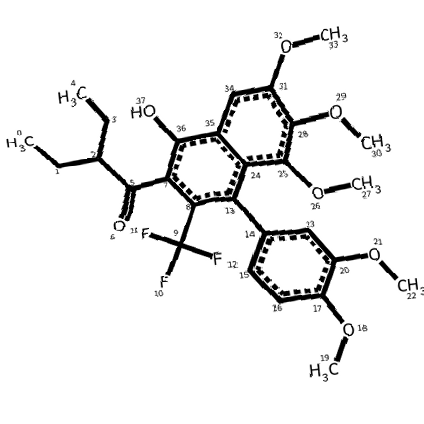 CCC(CC)C(=O)c1c(C(F)(F)F)c(-c2ccc(OC)c(OC)c2)c2c(OC)c(OC)c(OC)cc2c1O